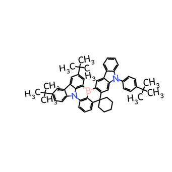 CC(C)(C)c1ccc(-n2c3ccccc3c3cc4c(cc32)C2(CCCCC2)c2cccc3c2B4c2cc(C(C)(C)C)cc4c5cc(C(C)(C)C)ccc5n-3c24)cc1